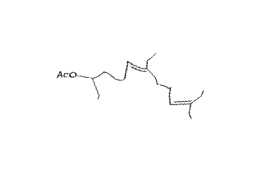 CC(=O)OC(C)CCC=C(C)CCC=C(C)C